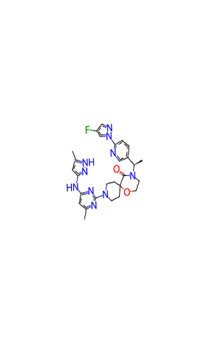 Cc1cc(Nc2cc(C)[nH]n2)nc(N2CCC3(CC2)OCCN([C@H](C)c2ccc(-n4cc(F)cn4)nc2)C3=O)n1